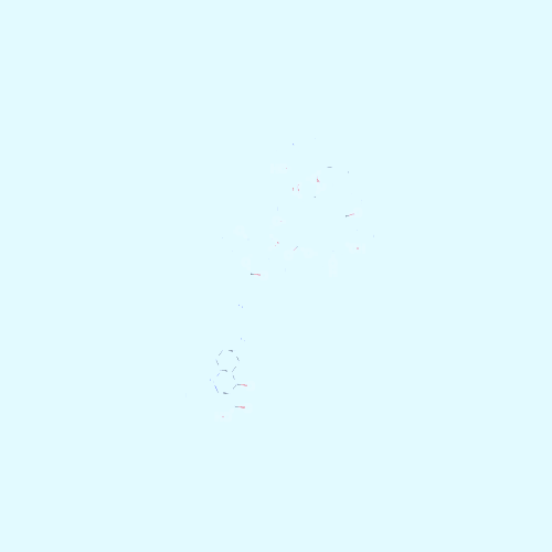 CC[C@H]1OC(=O)[C@H](C)[C@@H](O[C@H]2C[C@@](C)(OC)[C@@H](OC(=O)CCNCCNc3cc4c5c(c3)c(=O)c(C(=O)O)cn5C(C)CC4)[C@H](C)O2)[C@H](C)[C@@H](O[C@@H]2O[C@H](C)C[C@H](N(C)C)[C@H]2O)[C@](C)(OC)C[C@@H](C)C(=O)[C@H](C)[C@@H](O)[C@]1(C)O